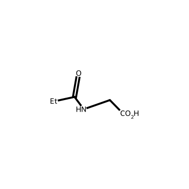 [CH2]CC(=O)NCC(=O)O